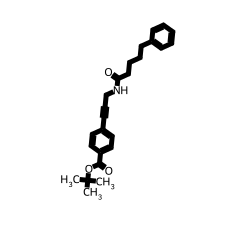 CC(C)(C)OC(=O)c1ccc(C#CCNC(=O)CCCCc2ccccc2)cc1